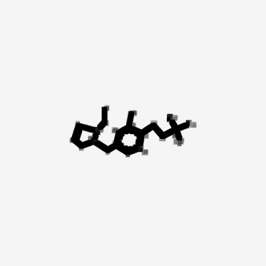 CCN1C=CCN1Cc1cnc(CCC(F)(F)F)c(C)c1